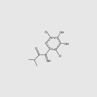 CC(C)C(=O)C(=N)c1cc(Cl)c(O)c(O)c1Cl